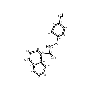 O=C(NCc1ccc(Cl)cc1)c1ccnc2ccccc12